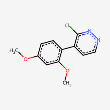 COc1ccc(-c2ccnnc2Cl)c(OC)c1